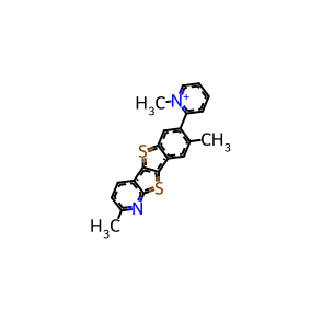 Cc1ccc2c(n1)sc1c3cc(C)c(-c4cccc[n+]4C)cc3sc21